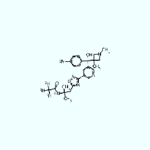 [2H]C([2H])([2H])C(=O)NC(C)(C)Cc1nc(-c2cncc([C@@](O)(c3ccc(C(C)C)cc3)C3(C)CN(C)C3)c2)no1